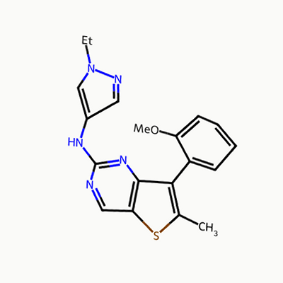 CCn1cc(Nc2ncc3sc(C)c(-c4ccccc4OC)c3n2)cn1